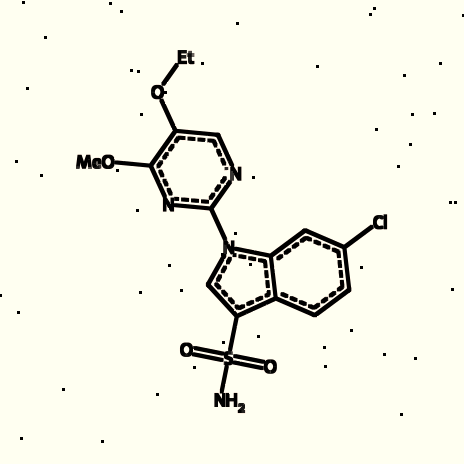 CCOc1cnc(-n2cc(S(N)(=O)=O)c3ccc(Cl)cc32)nc1OC